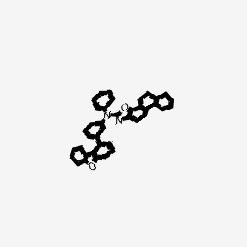 c1ccc(N(c2cccc(-c3cccc4oc5ccccc5c34)c2)c2nc3ccc4c5ccccc5ccc4c3o2)cc1